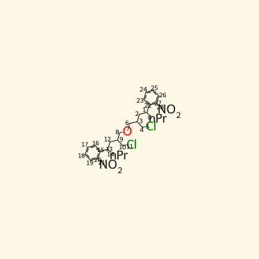 CCCC(CC(CCl)COCC(CCl)CC(CCC)c1ccccc1[N+](=O)[O-])c1ccccc1[N+](=O)[O-]